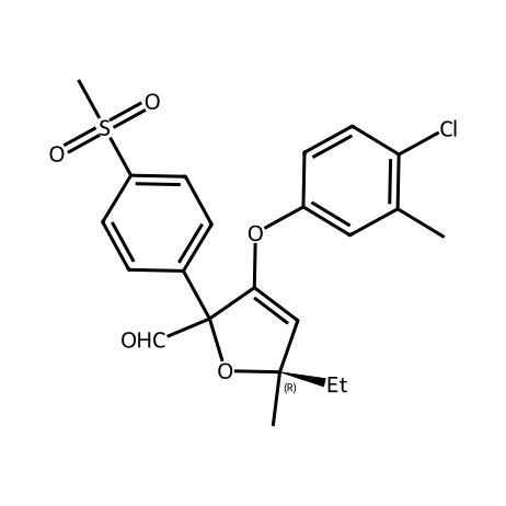 CC[C@]1(C)C=C(Oc2ccc(Cl)c(C)c2)C(C=O)(c2ccc(S(C)(=O)=O)cc2)O1